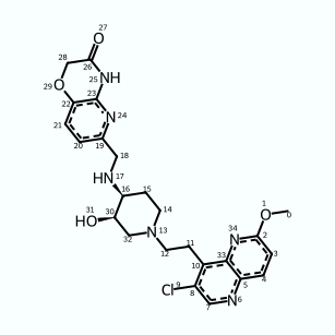 COc1ccc2ncc(Cl)c(CCN3CC[C@H](NCc4ccc5c(n4)NC(=O)CO5)[C@H](O)C3)c2n1